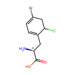 N[C@@H](CC1=CC=C(Br)CC1Cl)C(=O)O